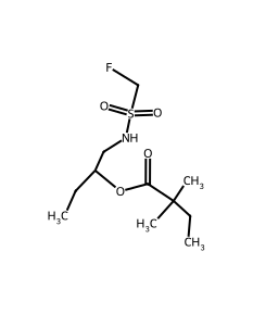 CCC(CNS(=O)(=O)CF)OC(=O)C(C)(C)CC